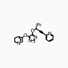 CC(C)C(C#Cc1ccccn1)Oc1nsnc1OC1CN2CCC1C2